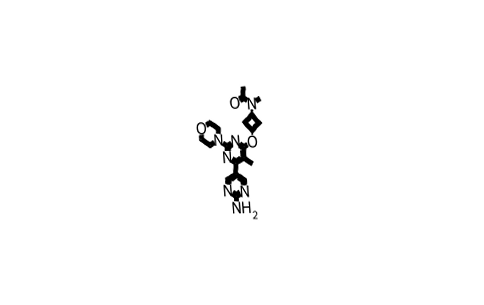 CC(=O)N(C)[C@H]1C[C@H](Oc2nc(N3CCOCC3)nc(-c3cnc(N)nc3)c2C)C1